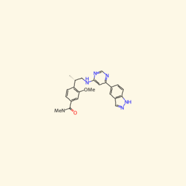 CNC(=O)c1ccc([C@H](C)CNc2cc(-c3ccc4[nH]ncc4c3)ncn2)c(OC)c1